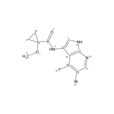 COC1(C(=O)Nc2c[nH]c3ncc(Br)c(F)c23)CC1